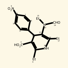 CCC1=C(C(=O)O)C(c2ccc([N+](=O)[O-])cc2)C(N(C=O)CC)=C(CC)N1